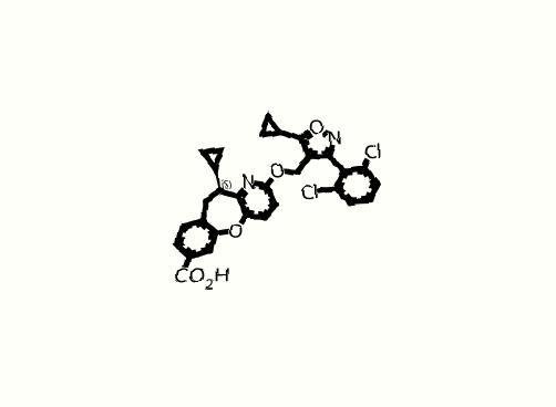 O=C(O)c1ccc2c(c1)Oc1ccc(OCc3c(-c4c(Cl)cccc4Cl)noc3C3CC3)nc1[C@H](C1CC1)C2